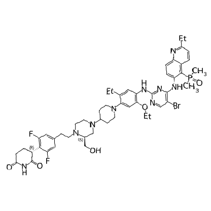 CCOc1cc(N2CCC(N3CCN(CCc4cc(F)c([C@H]5CCC(=O)NC5=O)c(F)c4)[C@H](CO)C3)CC2)c(CC)cc1Nc1ncc(Br)c(Nc2ccc3nc(CC)ccc3c2P(C)(C)=O)n1